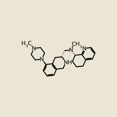 CN1CCN(c2cccc3c2C[C@H](CN(C)[C@H]2CCCc4cccnc42)NC3)CC1